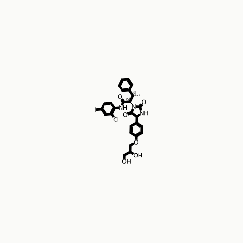 C[C@@H](c1ccccc1)[C@@H](C(=O)Nc1ccc(I)cc1Cl)N1C(=O)NC(c2ccc(OCC(O)CO)cc2)C1=O